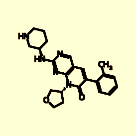 Cc1ccccc1-c1cc2cnc(N[C@@H]3CCCNC3)nc2n([C@@H]2CCOC2)c1=O